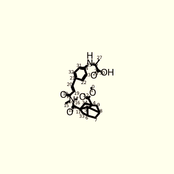 COC(=O)C12CC3CC(C1)CC(C(=O)[N+](C)(C)C(=O)C=Cc1ccc(N[C@@H](C)C(=O)O)cc1)(C3)C2